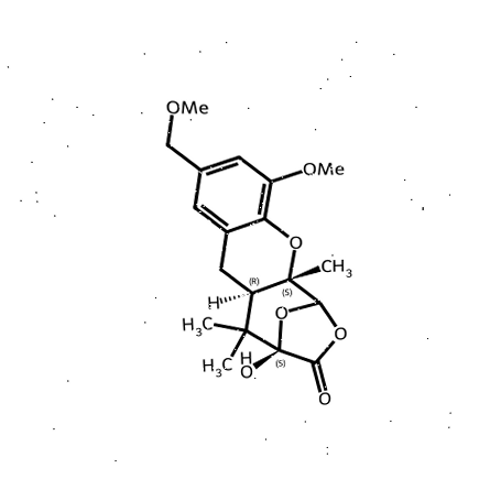 COCc1cc2c(c(OC)c1)O[C@]1(C)C3OC(=O)[C@@](O)(O3)C(C)(C)[C@H]1C2